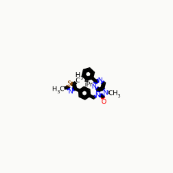 Cc1nc(-c2ccc(Cn3c(=O)n(C)c4cnc(-c5ccccc5C(C)C)nc43)cc2)c(C)s1